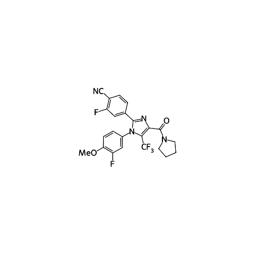 COc1ccc(-n2c(-c3ccc(C#N)c(F)c3)nc(C(=O)N3CCCC3)c2C(F)(F)F)cc1F